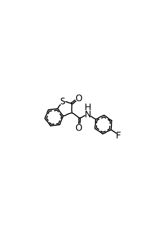 O=C(Nc1ccc(F)cc1)C1C(=O)Sc2ccccc21